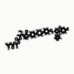 CC[C@@H](C(C)OC(=O)OC(C)OC(=O)CN(C)C)n1ncn(-c2ccc(N3CCN(c4ccc(OC[C@@H]5CO[C@@](Cn6cncn6)(c6ccc(F)cc6F)C5)cc4)CC3)cc2)c1=O